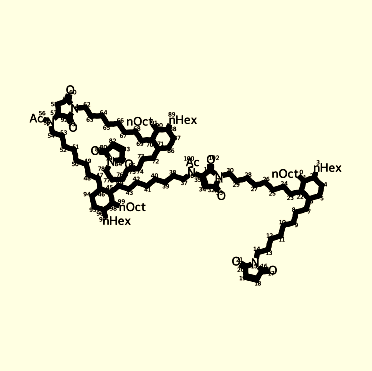 CCCCCCCCC1C(CCCCCC)CCC(CCCCCCCCN2C(=O)C=CC2=O)C1CCCCCCCCN1C(=O)C=C(N(CCCCCCCCC2C(CCCCCCCCN(C(C)=O)C3CC(=O)N(CCCCCCCCC4C(CCCCCCCN5C(=O)C=CC5=O)CCC(CCCCCC)C4CCCCCCCC)C3=O)CCC(CCCCCC)C2CCCCCCCC)C(C)=O)C1=O